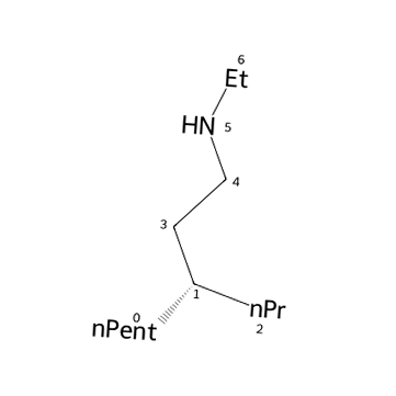 CCCCC[C@@H](CCC)CCNCC